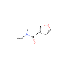 CON(C)C(=O)c1ccoc1